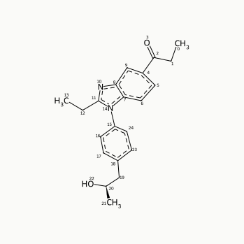 CCC(=O)c1ccc2c(c1)nc(CC)n2-c1ccc(C[C@@H](C)O)cc1